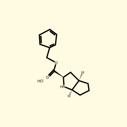 Cl.O=C(OCc1ccccc1)[C@H]1C[C@H]2CCC[C@H]2N1